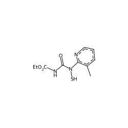 CCOC(=O)NC(=O)N(S)c1ncccc1C